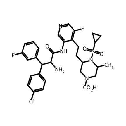 CC1CN(C(=O)O)CC(CCc2c(F)cncc2NC(=O)C(N)C(c2ccc(Cl)cc2)c2cccc(F)c2)N1S(=O)(=O)C1CC1